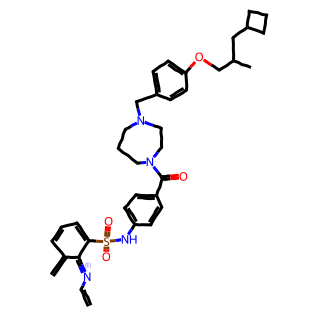 C=C/N=C1\C(=C)C=CC=C1S(=O)(=O)Nc1ccc(C(=O)N2CCCN(Cc3ccc(OCC(C)CC4CCC4)cc3)CC2)cc1